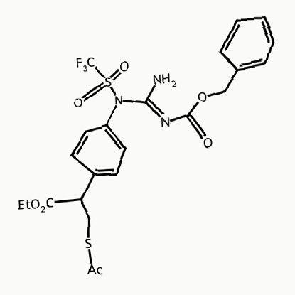 CCOC(=O)C(CSC(C)=O)c1ccc(N(C(N)=NC(=O)OCc2ccccc2)S(=O)(=O)C(F)(F)F)cc1